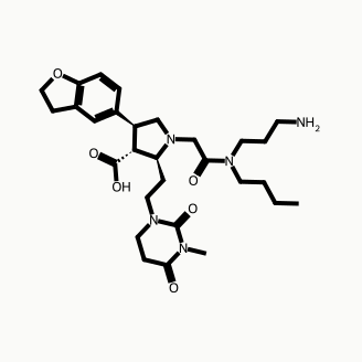 CCCCN(CCCN)C(=O)CN1C[C@H](c2ccc3c(c2)CCO3)[C@@H](C(=O)O)[C@@H]1CCN1CCC(=O)N(C)C1=O